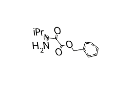 CC(C)[C@H](N)C(=O)C(=O)OCc1ccccc1